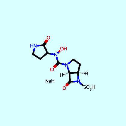 O=C1NCCC1N(O)C(=O)N1CC[C@@H]2[C@H]1C(=O)N2S(=O)(=O)O.[NaH]